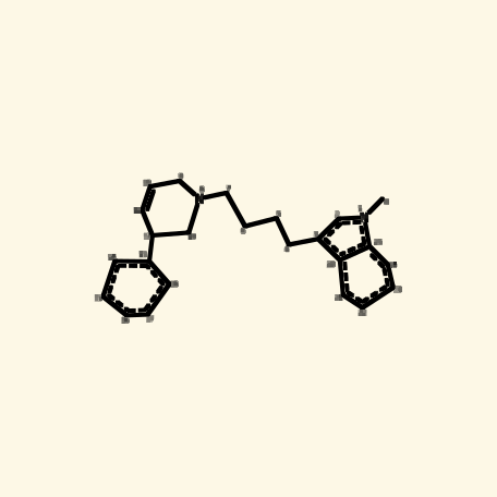 Cn1cc(CCCCN2CC=CC(c3ccccc3)C2)c2ccccc21